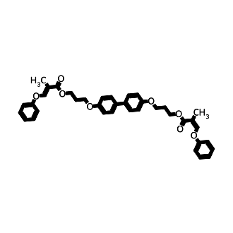 CC(=COc1ccccc1)C(=O)OCCCOc1ccc(-c2ccc(OCCCOC(=O)C(C)=COc3ccccc3)cc2)cc1